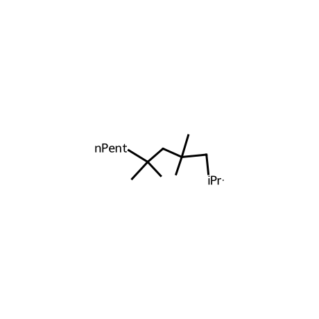 CCCCCC(C)(C)CC(C)(C)C[C](C)C